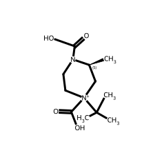 C[C@H]1C[N+](C(=O)O)(C(C)(C)C)CCN1C(=O)O